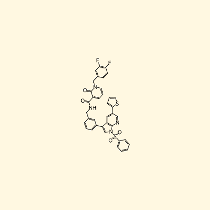 O=C(NCc1cccc(-c2cn(S(=O)(=O)c3ccccc3)c3ncc(-c4cccs4)cc23)c1)c1cccn(Cc2ccc(F)c(F)c2)c1=O